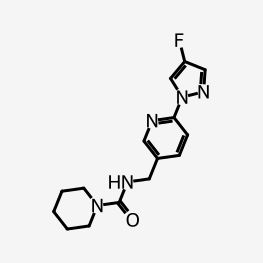 O=C(NCc1ccc(-n2cc(F)cn2)nc1)N1CCCCC1